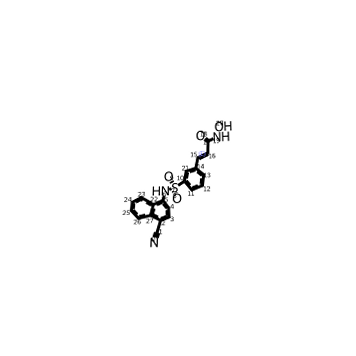 N#Cc1ccc(NS(=O)(=O)c2cccc(/C=C/C(=O)NO)c2)c2ccccc12